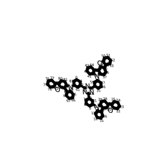 c1cc(-c2nc(-c3cccc(-n4c5ccccc5c5c6oc7ccccc7c6ccc54)c3)nc(-c3cccc(-n4c5ccccc5c5c6oc7ccccc7c6ccc54)c3)n2)cc(-n2c3ccccc3c3c4oc5ccccc5c4ccc32)c1